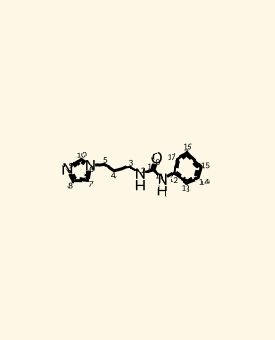 O=C(NCCCn1ccnc1)Nc1ccccc1